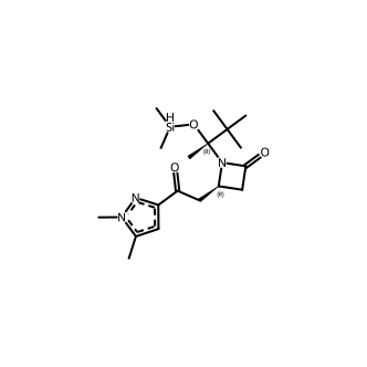 Cc1cc(C(=O)C[C@@H]2CC(=O)N2[C@](C)(O[SiH](C)C)C(C)(C)C)nn1C